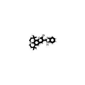 CC1(C)CCN2CCC(C)(C)c3c2c1cc1cc(C2Nc4ccccc4S2)c(=O)oc31